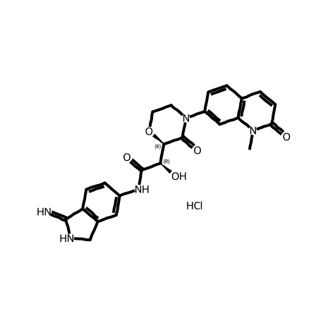 Cl.Cn1c(=O)ccc2ccc(N3CCO[C@H]([C@@H](O)C(=O)Nc4ccc5c(c4)CNC5=N)C3=O)cc21